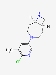 Cc1cc(N2CC[C@@H]3CN[C@@H]3CC2)cnc1Cl